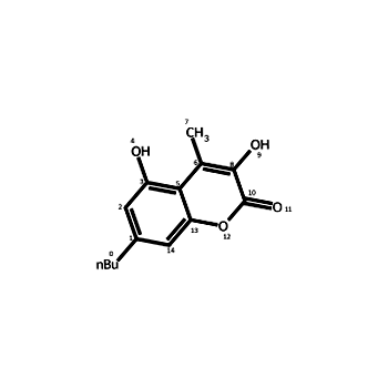 CCCCc1cc(O)c2c(C)c(O)c(=O)oc2c1